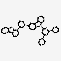 c1ccc(-c2cc(-c3ccccc3)nc(-n3c4ccccc4c4cc(-c5cccc(-c6cccc7c6sc6ccccc67)c5)ccc43)c2)cc1